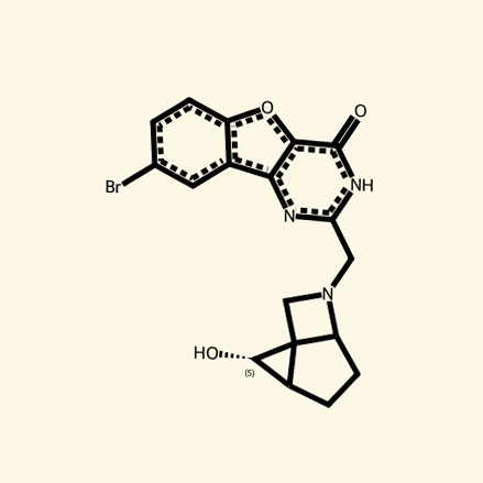 O=c1[nH]c(CN2CC34C(CCC23)[C@@H]4O)nc2c1oc1ccc(Br)cc12